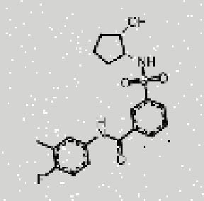 Cc1cc(NC(=O)c2cccc(S(=O)(=O)N[C@@H]3CCC[C@@H]3O)c2)ccc1F